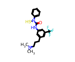 CN(C)CCCc1cc(NC(=O)N(S)c2cc[c]cc2)cc(C(F)(F)F)c1